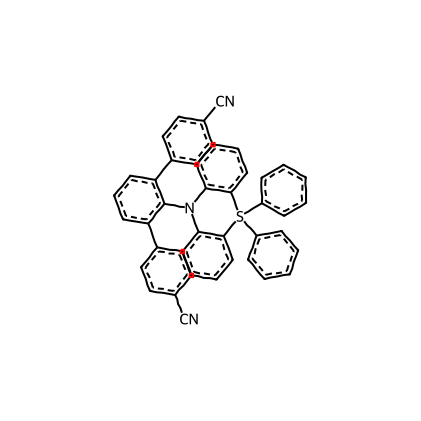 N#Cc1ccc(-c2cccc(-c3ccc(C#N)cc3)c2N2c3ccccc3S(c3ccccc3)(c3ccccc3)c3ccccc32)cc1